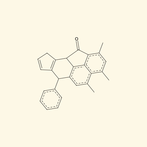 Cc1cc(C)c2c(C)cc3c4c2c1C(=O)C4C1=C(C=CC1)C3c1ccccc1